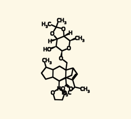 CC(C)C1=CC2CC3(C4OCCO4)C4CCC(C)C4CC2(CO[C@@H]2O[C@H](C)[C@H]4OC(C)(C)O[C@H]4[C@@H]2O)C13C(=O)O